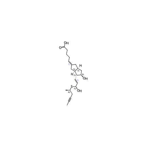 CC#CC[C@@H](C)S[C@H](O)/C=C/[C@@H]1[C@H]2C/C(=C/CCCC(=O)O)C[C@H]2C[C@H]1O